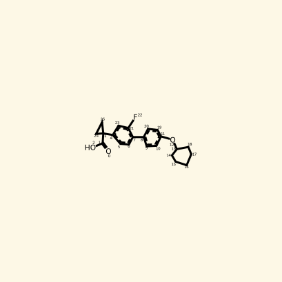 O=C(O)C1(c2ccc(-c3ccc(OC4CCCCC4)cc3)c(F)c2)CC1